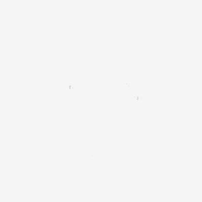 CS(=O)(=O)Nc1ccc(N=N)cc1OCC1CC1